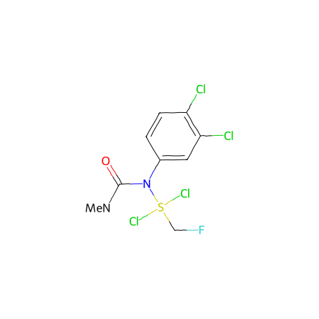 CNC(=O)N(c1ccc(Cl)c(Cl)c1)S(Cl)(Cl)CF